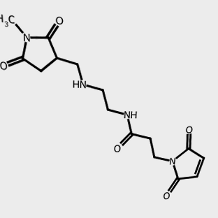 CN1C(=O)CC(CNCCNC(=O)CCN2C(=O)C=CC2=O)C1=O